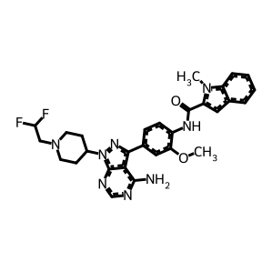 COc1cc(-c2nn(C3CCN(CC(F)F)CC3)c3ncnc(N)c23)ccc1NC(=O)c1cc2ccccc2n1C